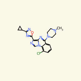 CN1CCN(c2nc3c(-c4nc(C5CC5)no4)ncn3c3c(Cl)cccc23)CC1